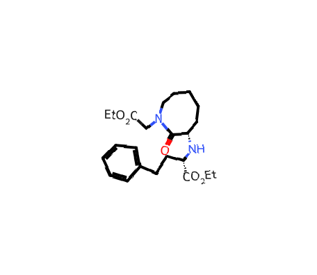 CCOC(=O)CN1CCCCC[C@H](N[C@@H](CCc2ccccc2)C(=O)OCC)C1=O